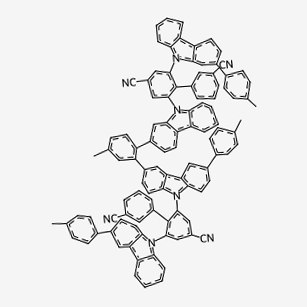 Cc1ccc(-c2ccc3c(c2)c2ccccc2n3-c2cc(C#N)cc(-n3c4ccc(-c5ccc(C)cc5)cc4c4cc(-c5cc(C)ccc5-c5ccc6c7ccccc7n(-c7cc(C#N)cc(-n8c9ccccc9c9ccc(-c%10ccc(C)cc%10)cc98)c7-c7cccc(C#N)c7)c6c5)ccc43)c2-c2cccc(C#N)c2)cc1